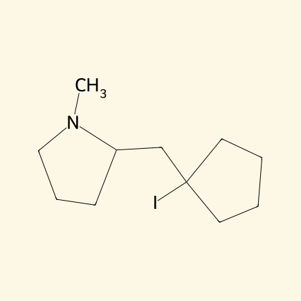 CN1CCCC1CC1(I)CCCC1